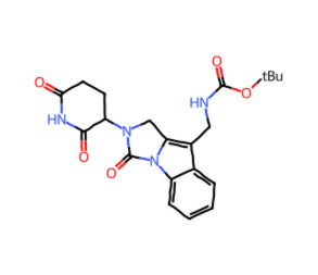 CC(C)(C)OC(=O)NCc1c2n(c3ccccc13)C(=O)N(C1CCC(=O)NC1=O)C2